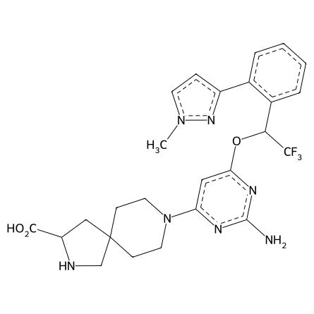 Cn1ccc(-c2ccccc2C(Oc2cc(N3CCC4(CC3)CNC(C(=O)O)C4)nc(N)n2)C(F)(F)F)n1